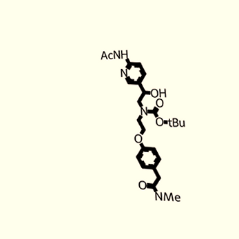 CNC(=O)Cc1ccc(OCCN(CC(O)c2ccc(NC(C)=O)nc2)C(=O)OC(C)(C)C)cc1